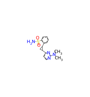 CN(C)c1nccc(C2CC2c2ccccc2S(N)(=O)=O)n1